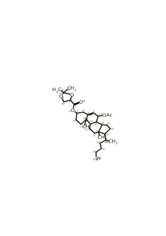 CC(=O)OC1C=C2CC(OC(=O)C3COC(C)(C)O3)CCC2(C)C2CCC3(C)C(C(C)CCCC(C)C)CCC3C12